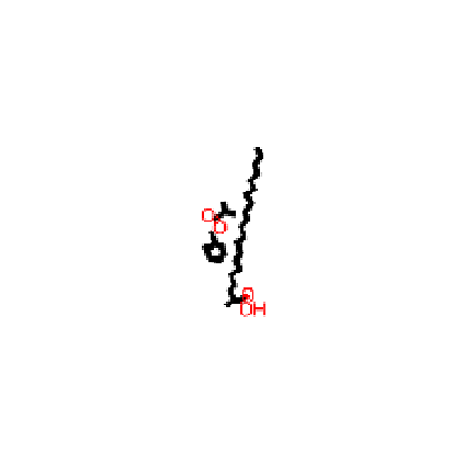 C=C(C)C(=O)OCc1ccccc1.CCCCCCCCCCCCCCCCCCC=C(C)C(=O)O